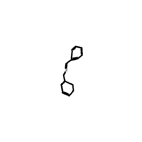 C1=CCC(C/N=C/c2ccccc2)CC1